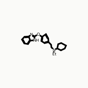 CCN(CCc1ccc(Oc2nc3ccccc3[nH]2)cc1)C1CCCCC1